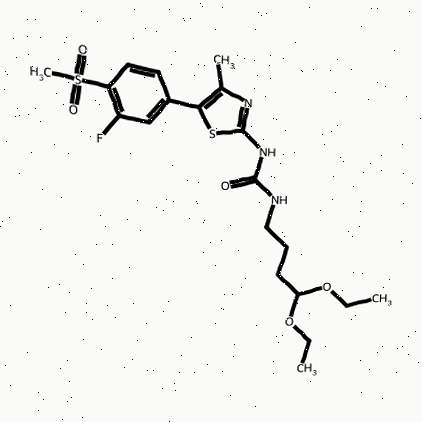 CCOC(CCCNC(=O)Nc1nc(C)c(-c2ccc(S(C)(=O)=O)c(F)c2)s1)OCC